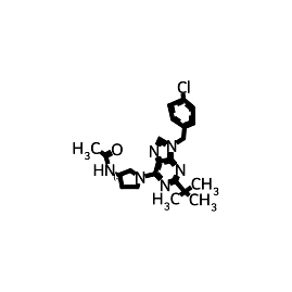 CC(=O)N[C@H]1CCN(c2nc(C(C)(C)C)nc3c2ncn3Cc2ccc(Cl)cc2)C1